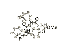 COC(=O)NCC(=O)N(c1cccc(F)c1)[C@H](C(=O)N[C@@H]1CCCCC1(F)F)c1ccccc1Cl